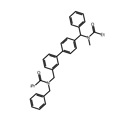 CCC(=O)N(C)C(c1ccccc1)c1ccc(-c2cccc(CN(Cc3ccccc3)C(=O)C(C)C)c2)cc1